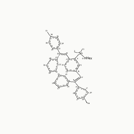 CCCCCC[Si](C)(C)c1cc(/C=C(\c2ccccc2)c2ccc(C)cc2)ccc1/C=C(\c1ccccc1)c1ccc(C)cc1